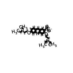 CCN(CC)CCOc1ccc2cc3cc([N+](=O)[O-])c(OCCN(CC)CC)cc3nc2c1